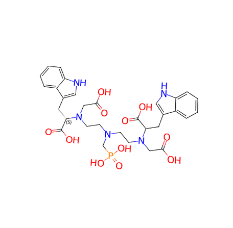 O=C(O)CN(CCN(CCN(CC(=O)O)[C@@H](Cc1c[nH]c2ccccc12)C(=O)O)CP(=O)(O)O)C(Cc1c[nH]c2ccccc12)C(=O)O